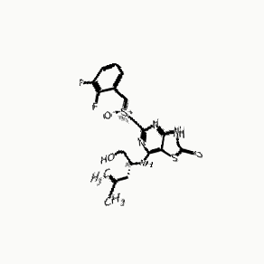 CC(C)C[C@H](CO)Nc1nc([S@@+]([O-])Cc2cccc(F)c2F)nc2[nH]c(=O)sc12